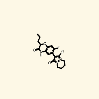 CCCC1Oc2cc(F)c(-c3c(Cl)n4n(c3=O)CCCC4)cc2NC1=O